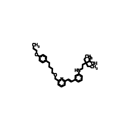 CCCOc1ccc(CCCCOCc2cccc(C=Cc3cccc(NCCC(CC)(CC)C(=O)O)c3)n2)cc1